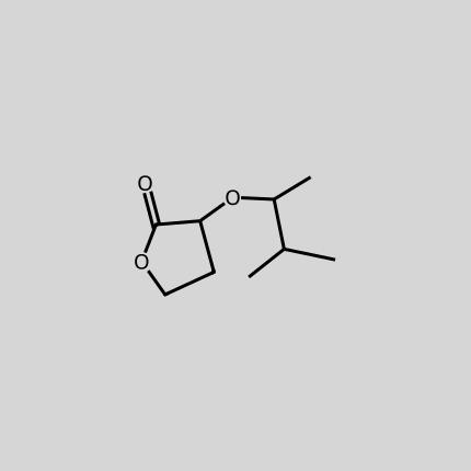 CC(C)C(C)OC1CCOC1=O